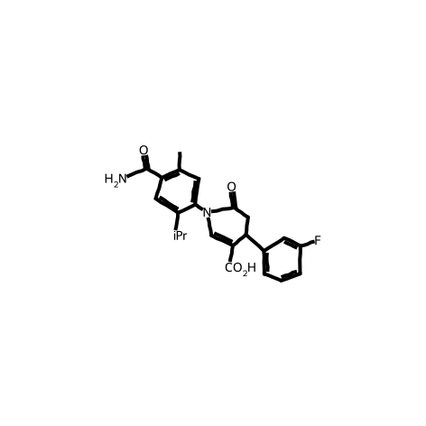 Cc1cc(N2C=C(C(=O)O)C(c3cccc(F)c3)CC2=O)c(C(C)C)cc1C(N)=O